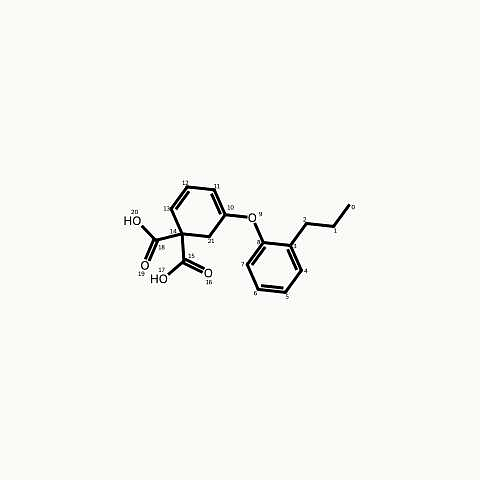 CCCc1ccccc1OC1=CC=CC(C(=O)O)(C(=O)O)C1